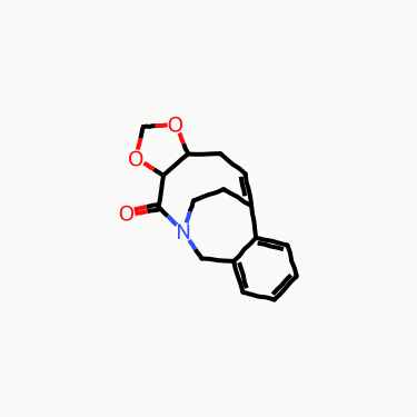 O=C1C2OCOC2CC=C2CCN1Cc1ccccc12